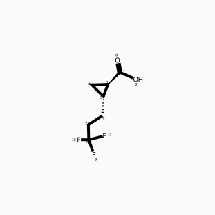 O=C(O)[C@@H]1C[C@H]1CCC(F)(F)F